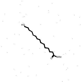 CNC(=O)CCCCCCCCCCCCCCO